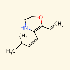 C=CC1=C(/C=C\C(C)C)NCCO1